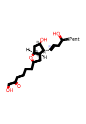 CCCC(C)C(O)C/C=C/[C@@H]1[C@H]2CC(CCCCC(=O)CO)O[C@H]2C[C@H]1O